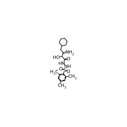 Cc1cc(C)c(S(=O)(=O)NNC(=O)C(O)[C@H](N)CC2CCCCC2)c(C)c1